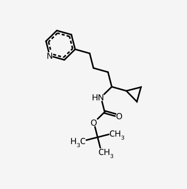 CC(C)(C)OC(=O)NC(CCCc1cccnc1)C1CC1